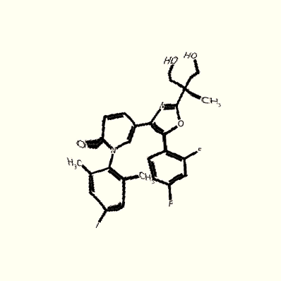 Cc1cc(I)cc(C)c1-n1cc(-c2nc(C(C)(CO)CO)oc2-c2ccc(F)cc2F)ccc1=O